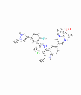 Cc1nc2ccc(-c3cnc(C(C)(C)O)nc3)cc2c(N[C@H](C)c2cc(-c3cnn(C)c3)ccc2F)c1Cl